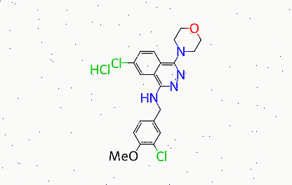 COc1ccc(CNc2nnc(N3CCOCC3)c3ccc(Cl)cc23)cc1Cl.Cl